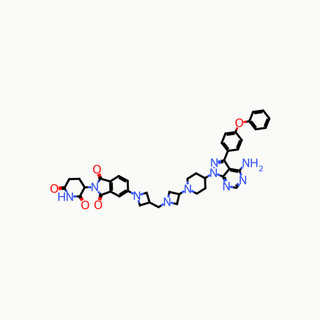 Nc1ncnc2c1c(-c1ccc(Oc3ccccc3)cc1)nn2C1CCN(C2CN(CC3CN(c4ccc5c(c4)C(=O)N(C4CCC(=O)NC4=O)C5=O)C3)C2)CC1